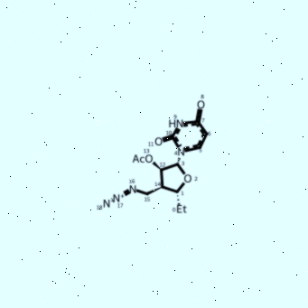 CC[C@H]1O[C@@H](n2ccc(=O)[nH]c2=O)[C@H](OC(C)=O)[C@@H]1CN=[N+]=[N-]